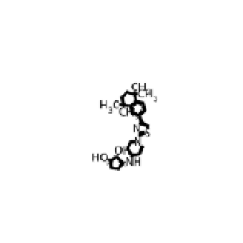 CC1(C)CCC(C)(C)c2cc(-c3csc(N4CCC(N[C@@H]5CC[C@H](O)[C@@H]5O)CC4)n3)ccc21